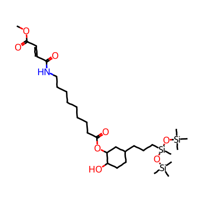 COC(=O)C=CC(=O)NCCCCCCCCC(=O)OC1CC(CCC[Si](C)(O[Si](C)(C)C)O[Si](C)(C)C)CCC1O